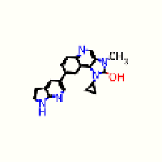 CN1c2cnc3ccc(-c4cnc5[nH]ccc5c4)cc3c2N(C2CC2)C1O